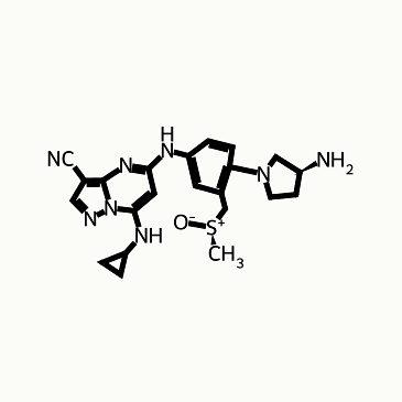 C[S@@+]([O-])Cc1cc(Nc2cc(NC3CC3)n3ncc(C#N)c3n2)ccc1N1CC[C@H](N)C1